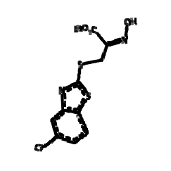 CCOC(=O)/C(CSc1nc2cc(Cl)ccc2s1)=N\O